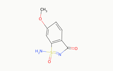 COc1ccc2c(c1)S(N)(=O)=NC2=O